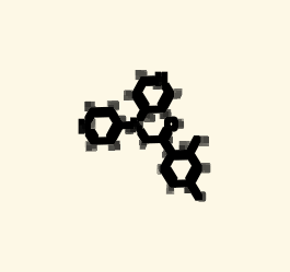 Cc1ccc(C(=O)CN(c2ccncc2)c2ccncc2)c(C)c1